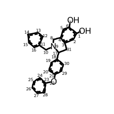 Oc1cc2c(cc1O)CN(Cc1ccccc1)C(c1ccc(Oc3ccccc3)cc1)C2